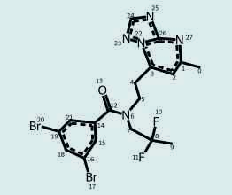 Cc1cc(CCN(CC(C)(F)F)C(=O)c2cc(Br)cc(Br)c2)n2ncnc2n1